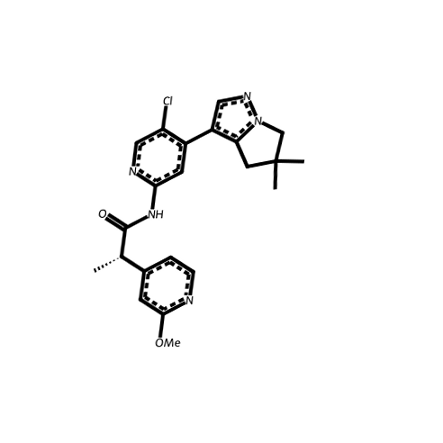 COc1cc([C@H](C)C(=O)Nc2cc(-c3cnn4c3CC(C)(C)C4)c(Cl)cn2)ccn1